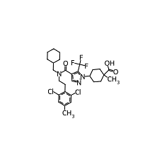 Cc1cc(Cl)c(CCN(CC2CCCCC2)C(=O)c2cnn(C3CCC(C)(C(=O)O)CC3)c2C(F)(F)F)c(Cl)c1